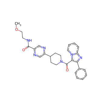 COCCNC(=O)c1cnc(C2CCN(C(=O)c3c(-c4ccccc4)nc4ccccn34)CC2)cn1